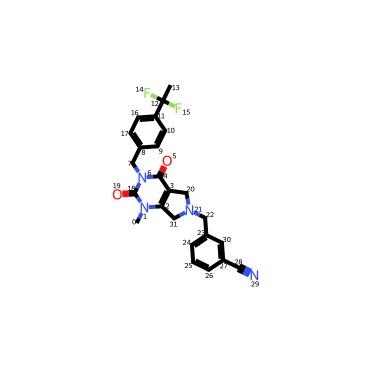 Cn1c2c(c(=O)n(Cc3ccc(C(C)(F)F)cc3)c1=O)CN(Cc1cccc(C#N)c1)C2